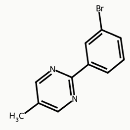 Cc1cnc(-c2cccc(Br)c2)nc1